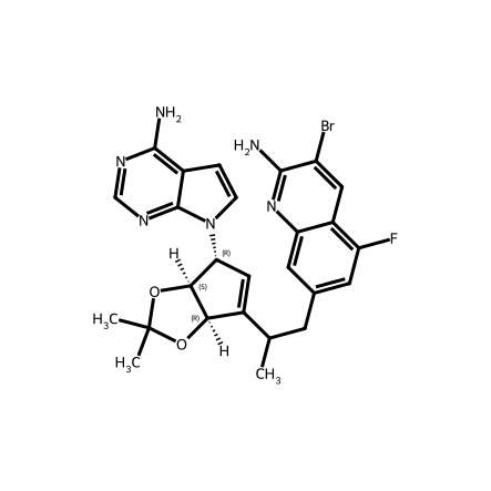 CC(Cc1cc(F)c2cc(Br)c(N)nc2c1)C1=C[C@@H](n2ccc3c(N)ncnc32)[C@@H]2OC(C)(C)O[C@H]12